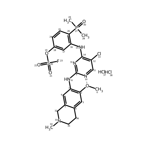 COc1cc2c(cc1Nc1ncc(Cl)c(Nc3cc(OS(=O)(=O)F)ccc3P(C)(C)=O)n1)CN(C)CC2.Cl.Cl